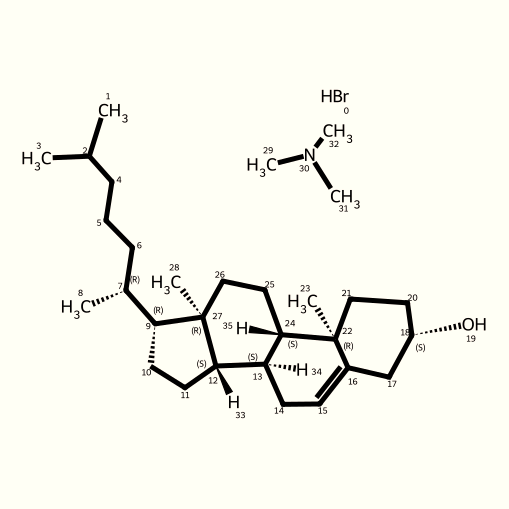 Br.CC(C)CCC[C@@H](C)[C@H]1CC[C@H]2[C@@H]3CC=C4C[C@@H](O)CC[C@]4(C)[C@H]3CC[C@]12C.CN(C)C